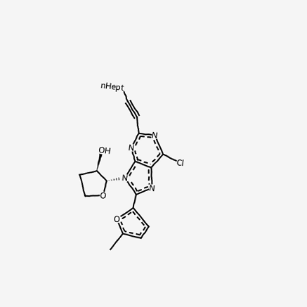 CCCCCCCC#Cc1nc(Cl)c2nc(-c3ccc(C)o3)n([C@@H]3OCC[C@H]3O)c2n1